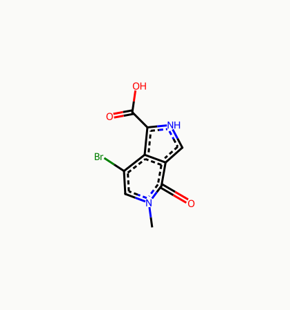 Cn1cc(Br)c2c(C(=O)O)[nH]cc2c1=O